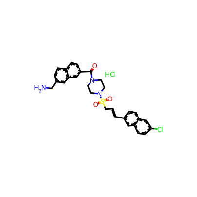 Cl.NCc1ccc2ccc(C(=O)N3CCN(S(=O)(=O)CC=Cc4ccc5cc(Cl)ccc5c4)CC3)cc2c1